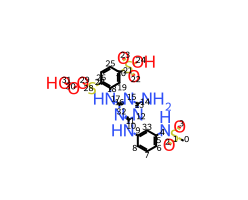 CS(=O)(=O)Nc1cccc(Nc2nc(N)nc(Nc3cc(S(=O)(=O)O)ccc3SOOO)n2)c1